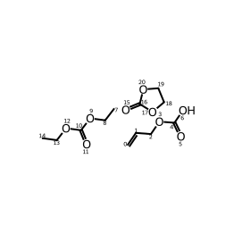 C=CCOC(=O)O.CCOC(=O)OCC.O=C1OCCO1